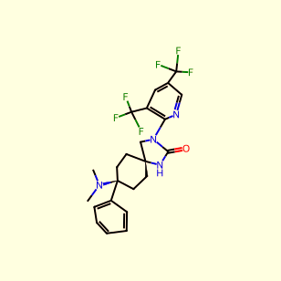 CN(C)[C@]1(c2ccccc2)CC[C@@]2(CC1)CN(c1ncc(C(F)(F)F)cc1C(F)(F)F)C(=O)N2